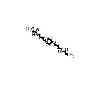 C=CC(=O)NCCCCOC1CCN(CCCCNC(=O)C=C)CC1